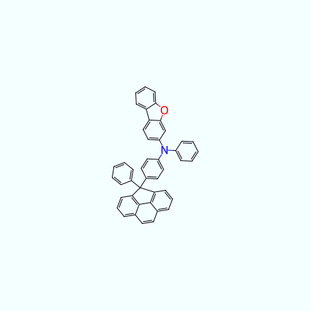 c1ccc(N(c2ccc(C3(c4ccccc4)c4cccc5ccc6cccc3c6c45)cc2)c2ccc3c(c2)oc2ccccc23)cc1